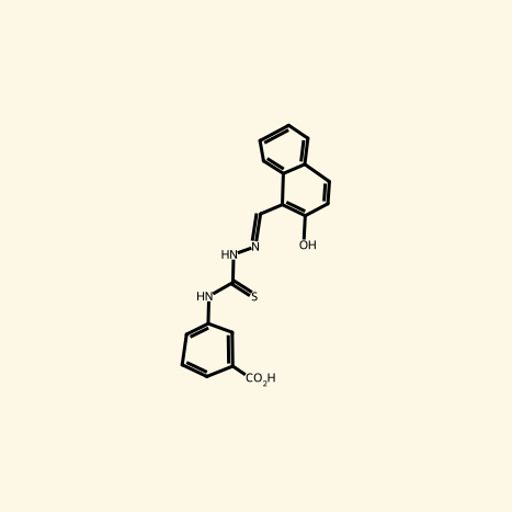 O=C(O)c1cccc(NC(=S)NN=Cc2c(O)ccc3ccccc23)c1